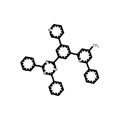 Cc1cc(-c2ccccc2)nc(-c2cc(-c3cccnc3)cc(-c3nc(-c4ccccc4)nc(-c4ccccc4)n3)c2)c1